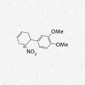 COc1ccc(C2CC=CC[C@H]2[N+](=O)[O-])cc1OC